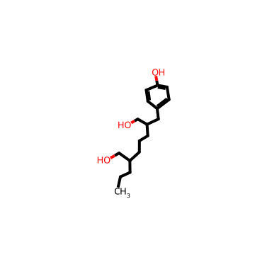 CCCC(CO)CCCC(CO)Cc1ccc(O)cc1